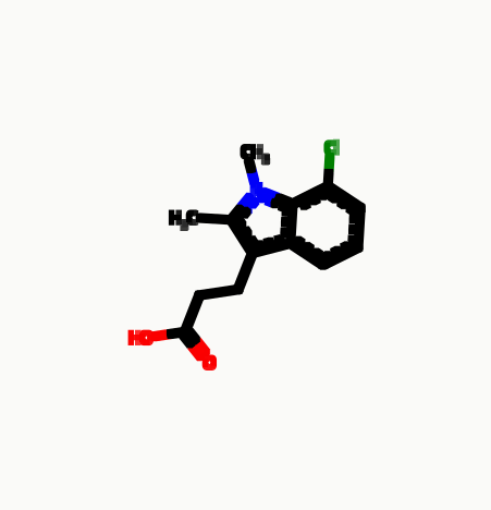 Cc1c(CCC(=O)O)c2cccc(Cl)c2n1C